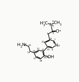 CN(C)C(=O)Cc1cncc(-c2cc(CCN)ccc2O)c1